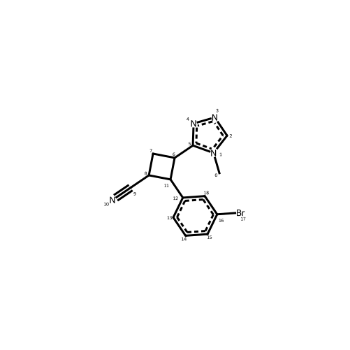 Cn1cnnc1C1CC(C#N)C1c1cccc(Br)c1